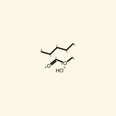 CCCCC.COC=O.Cl